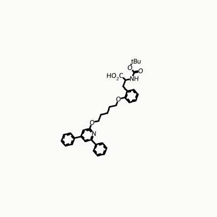 CC(C)(C)OC(=O)NC(Cc1ccccc1OCCCCCOc1cc(-c2ccccc2)cc(-c2ccccc2)n1)C(=O)O